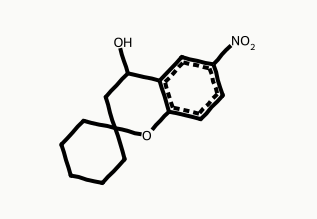 O=[N+]([O-])c1ccc2c(c1)C(O)CC1(CCCCC1)O2